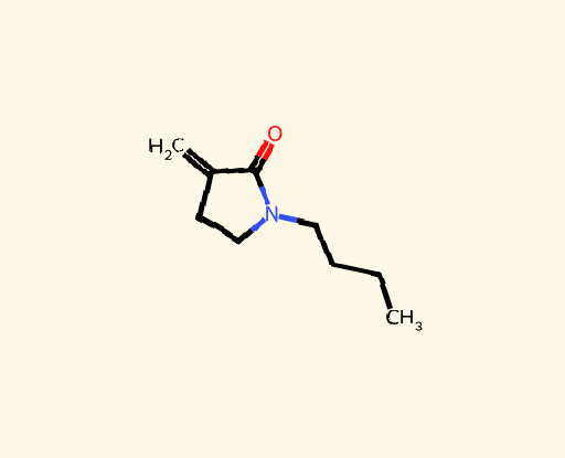 C=C1CCN(CCCC)C1=O